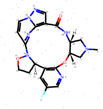 CN1C[C@@H]2Oc3ncc(F)cc3[C@H]3CCON3c3ccn4ncc(c4n3)C(=O)N[C@@H]2C1